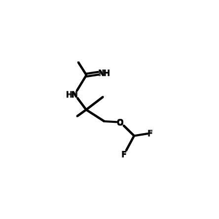 CC(=N)NC(C)(C)COC(F)F